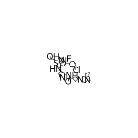 CN1CCN([C@H]2C[C@H](C(=O)Nc3cc(Nc4cc(-c5cc(Cl)ccc5F)nnc4SCCO)ccn3)C2)CC12CCC2